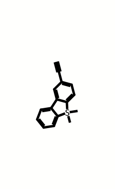 C#Cc1ccc2c(c1)-c1ccccc1S2(C)C